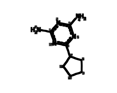 Nc1nc(N)nc(C2CCCC2)n1